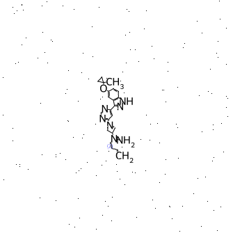 C=C/C=C\N(N)C1CN(c2cc(-c3n[nH]c4ccc(OC5(C)CC5)cc34)ncn2)C1